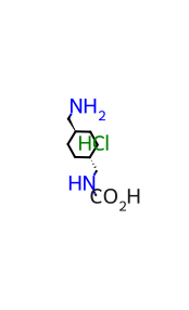 Cl.NC[C@H]1CC[C@H](CNC(=O)O)CC1